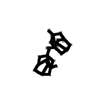 CC12CC3CC(C1)CC(NC14CC5CC(CC(C)(C5)C1)C4)(C3)C2